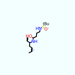 C=CC(C/C=C\C)NC(O)CCCN[S+]([O-])C(C)(C)C